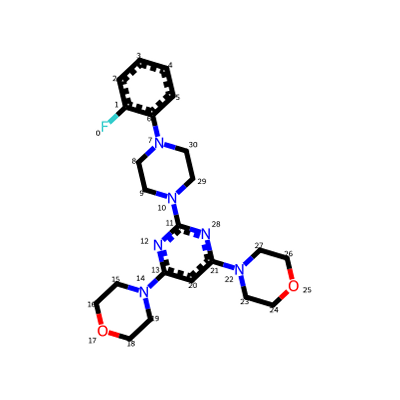 Fc1ccccc1N1CCN(c2nc(N3CCOCC3)cc(N3CCOCC3)n2)CC1